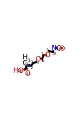 C/C(=C\CCOCCOCCN=C=O)C(=O)O